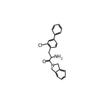 NC(Cc1ccc(-c2ccccc2)cc1Cl)C(=O)N1Cc2ccccc2C1